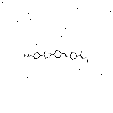 CC1CCC(C2CCC(C3CCC(/C=C/C4CCC(/C(F)=C/CF)CC4)CC3)OC2)CC1